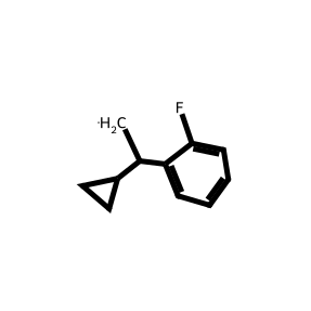 [CH2]C(c1ccccc1F)C1CC1